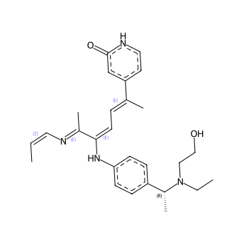 C\C=C/N=C(C)/C(=C\C=C(/C)c1cc[nH]c(=O)c1)Nc1ccc([C@@H](C)N(CC)CCO)cc1